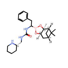 CC1(C)[C@@H]2C[C@H]3OB(C(Cc4ccccc4)NC(=O)NC[C@@H]4CCCCN4)O[C@@]3(C)[C@H]1C2